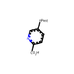 CCCCCc1ccc(C(=O)O)nc1